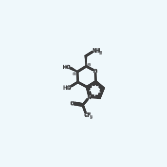 NC[C@H]1Oc2ccn(C(=O)C(F)(F)F)c2C(O)[C@H]1O